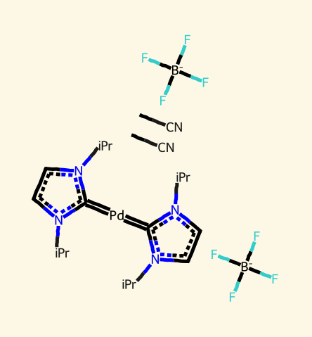 CC#N.CC#N.CC(C)n1ccn(C(C)C)[c]1=[Pd]=[c]1n(C(C)C)ccn1C(C)C.F[B-](F)(F)F.F[B-](F)(F)F